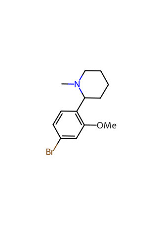 COc1cc(Br)ccc1C1CCCCN1C